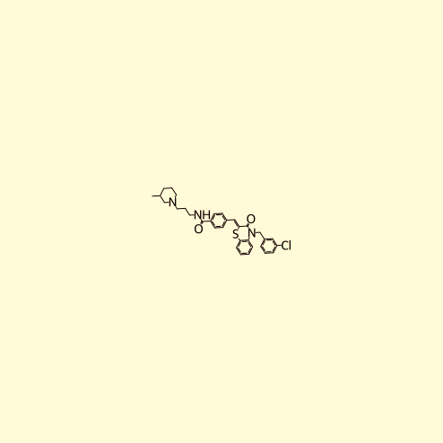 CC1CCCN(CCCNC(=O)c2ccc(/C=C3\Sc4ccccc4N(Cc4cccc(Cl)c4)C3=O)cc2)C1